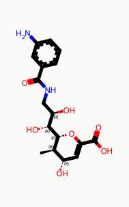 C[C@H]1[C@H]([C@H](O)[C@H](O)CNC(=O)c2cccc(N)c2)OC(C(=O)O)=C[C@@H]1O